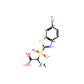 CC(C(=O)O)S(=O)(=O)c1nc2ccc(Cl)cc2s1